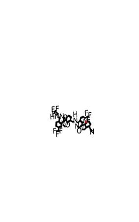 N#Cc1cccc2c1CC[C@@]21C(=O)N=C(NCc2cccc3c2OCC[C@@]32C(=O)N=C(NCC(F)(F)F)c3ccc(C(F)(F)F)cc32)c2ccc(C(F)(F)F)nc21